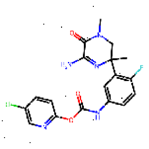 CN1CC(C)(c2cc(NC(=O)Oc3ccc(Cl)cn3)ccc2F)N=C(N)C1=O